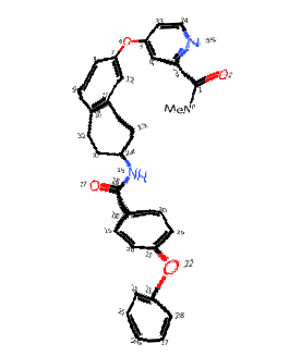 CNC(=O)c1cc(Oc2ccc3c(c2)CC(NC(=O)c2ccc(Oc4ccccc4)cc2)CC3)ccn1